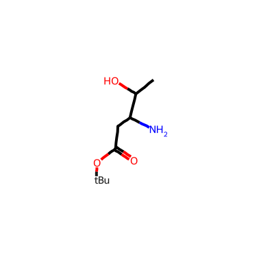 CC(O)C(N)CC(=O)OC(C)(C)C